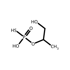 CC(CO)OP(=O)(O)S